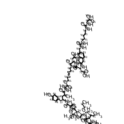 CCCOCN(C(=O)[C@@H](NC(=O)[C@H]1CCCCN1C)C(C)CC)[C@H](C[C@@H](OC(C)=O)c1nc(C(=O)N[C@@H](Cc2ccc(O)cc2)C[C@H](C)C(=O)NNC(=O)OCCSSCCNC(=O)[C@H](CC(=O)O)NC(=O)[C@H](CC(=O)O)NC(=O)Cc2ccc(CNC(=O)NCCCCCNC(=O)NCC(=O)O)cc2)cs1)C(C)C